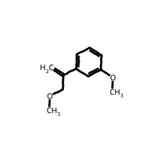 C=C(COC)c1cccc(OC)c1